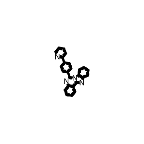 c1ccc(-c2ccc(-c3nc4ccccc4c4nc5ccccc5n34)cc2)nc1